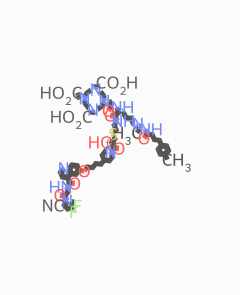 C/C(=N\CCCC[C@H](NC(=O)CN1CCN(CC(=O)O)CCN(CC(=O)O)CCN(CC(=O)O)CC1)C(=O)NCCSC[C@@H](O)C(=O)N1CCC(CCCCOc2ccc3nccc(C(=O)NCC(=O)N4CC(F)(F)C[C@@H]4C#N)c3c2)CC1)NC(=O)CCCc1ccc(C)cc1